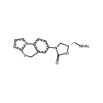 CC(=O)NC[C@H]1CN(c2ccc3c(c2)CSc2nccn2-3)C(=O)O1